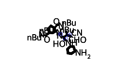 CCCCN(CCCC)C(=O)c1ccc(C(=O)N(CCCC)CCCC)c(/N=N/C(=C(\O)Nc2cccc(N)c2)C(/C)=C(/C#N)C=O)c1